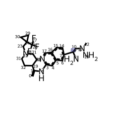 C=C(Nc1cc2cc(/C(N)=C/N(C)N)ccc2cn1)C1CCN(CC2(C(F)(F)F)CC2)CC1